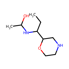 CCC(NC(C)O)C1CNCCO1